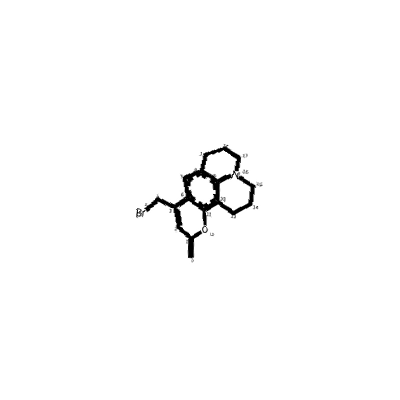 C=C1C=C(CBr)c2cc3c4c(c2O1)CCCN4CCC3